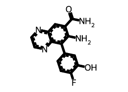 NC(=O)c1cc2nccnc2c(-c2ccc(F)c(O)c2)c1N